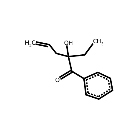 C=CCC(O)(CC)C(=O)c1ccccc1